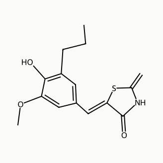 C=c1[nH]c(=O)/c(=C/c2cc(CCC)c(O)c(OC)c2)s1